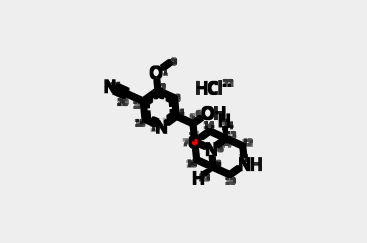 COc1cc(C(O)CN2[C@@H]3CNC[C@H]2COC3)ncc1C#N.Cl